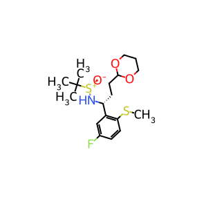 CSc1ccc(F)cc1[C@@H](CCC1OCCCO1)N[S@+]([O-])C(C)(C)C